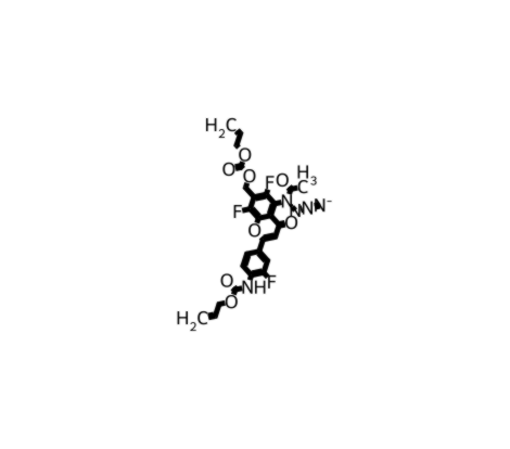 C=CCOC(=O)Nc1ccc(-c2cc(=O)c3c(N(N=[N+]=[N-])C(C)=O)c(F)c(COC(=O)OCC=C)c(F)c3o2)cc1F